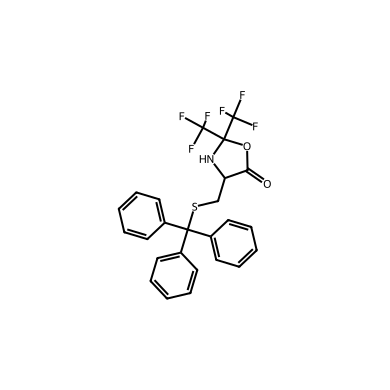 O=C1OC(C(F)(F)F)(C(F)(F)F)NC1CSC(c1ccccc1)(c1ccccc1)c1ccccc1